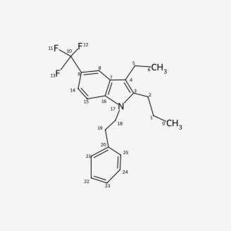 CCCc1c(CC)c2cc(C(F)(F)F)ccc2n1CCc1ccccc1